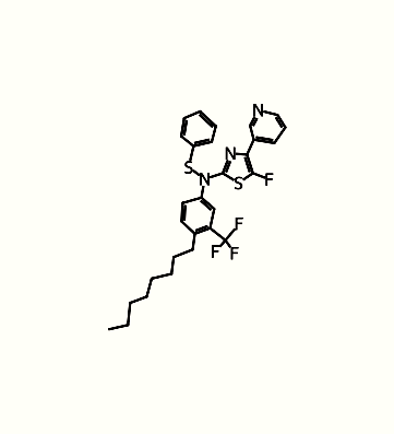 CCCCCCCCc1ccc(N(Sc2ccccc2)c2nc(-c3cccnc3)c(F)s2)cc1C(F)(F)F